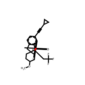 COC1CCC2(CC1)Cc1ccc(C#CC3CC3)cc1C21NC(=O)N(CC(F)(F)F)C1=O